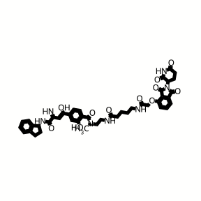 CN(CCNC(=O)CCCCNC(=O)COc1cccc2c1C(=O)N(C1CCC(=O)NC1=O)C2=O)C(=O)c1ccc(/C(O)=C/C(=N)C(=O)N[C@@H]2CCc3ccccc32)cc1O